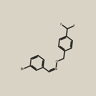 FC(F)c1ccc(CO/N=[C]\c2cccc(Br)c2)cc1